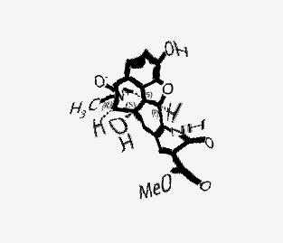 COC(=O)c1cc2c([nH]c1=O)[C@@H]1Oc3c(O)ccc4c3[C@@]13CC[N+](C)([O-])[C@H](C4)[C@]3(O)C2